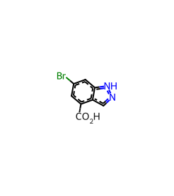 O=C(O)c1cc(Br)cc2[nH]ncc12